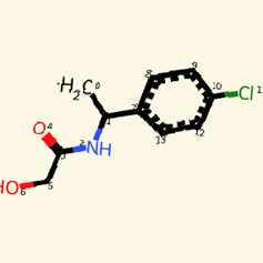 [CH2]C(NC(=O)CO)c1ccc(Cl)cc1